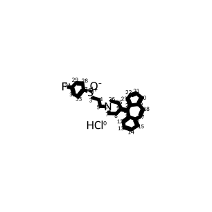 Cl.[O-][S+](CCCN1CCC(=C2c3ccccc3C=Cc3ccccc32)CC1)c1ccc(F)cc1